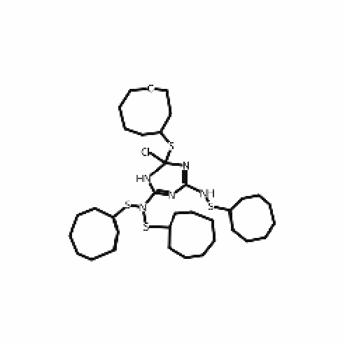 ClC1(SC2CCCCCCC2)N=C(NSC2CCCCCCC2)N=C(N(SC2CCCCCCC2)SC2CCCCCCC2)N1